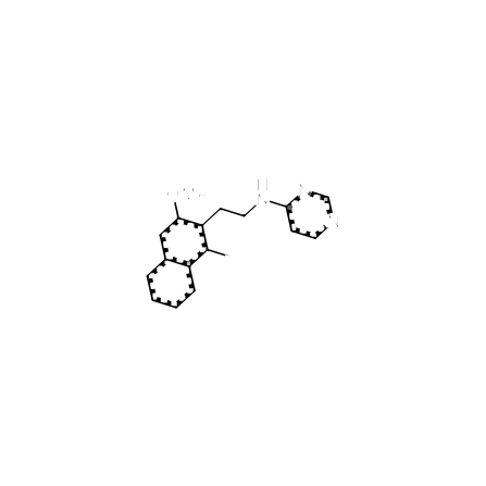 COc1cc2ccccc2c(F)c1CCNc1ccncn1